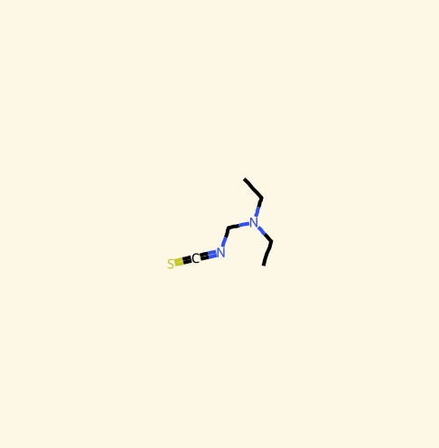 CCN(CC)CN=C=S